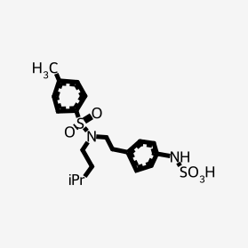 Cc1ccc(S(=O)(=O)N(CCc2ccc(NS(=O)(=O)O)cc2)CCC(C)C)cc1